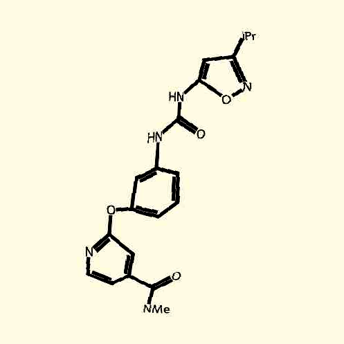 CNC(=O)c1ccnc(Oc2cccc(NC(=O)Nc3cc(C(C)C)no3)c2)c1